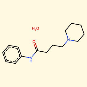 O.O=C(CCCN1CCCCC1)Nc1ccccc1